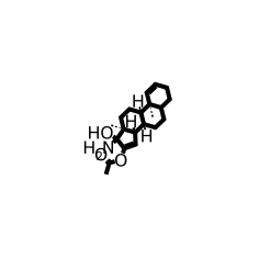 CC(=O)OC1=C[C@H]2[C@@H]3CCC4CCC=C[C@]4(C)[C@@H]3CC[C@]2(C)C1(N)O